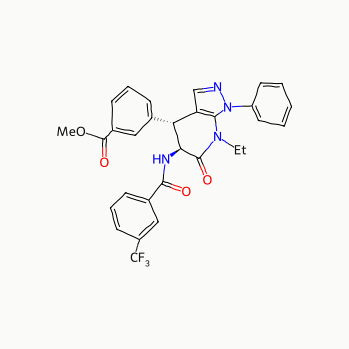 CCN1C(=O)[C@@H](NC(=O)c2cccc(C(F)(F)F)c2)[C@H](c2cccc(C(=O)OC)c2)c2cnn(-c3ccccc3)c21